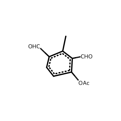 CC(=O)Oc1ccc(C=O)c(C)c1C=O